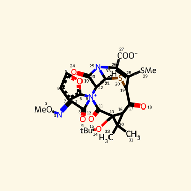 CON=CC(=O)[N+]1(c2ccco2)C(=O)C2(OC(C)(C)C)C(C(=O)C3S[C@H]4C1C(=O)N4C(C(=O)[O-])=C3SC)C2(C)C